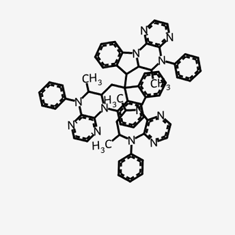 CC1CC(C)N(c2ccccc2C2(C3c4ccccc4N4c5nccnc5N(c5ccccc5)C(C)C34)CC3C(C)N(c4ccccc4)c4nccnc4N3c3ccccc32)c2nccnc2N1c1ccccc1